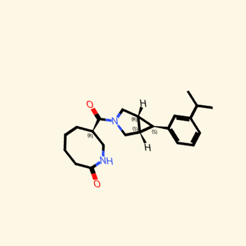 CC(C)c1cccc([C@H]2[C@@H]3CN(C(=O)[C@@H]4CCCCC(=O)NC4)C[C@@H]32)c1